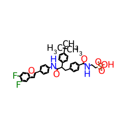 CC(C)(C)c1ccc(C(Cc2ccc(C(=O)NCCS(=O)(=O)O)cc2)C(=O)Nc2ccc(-c3cc4cc(F)c(F)cc4o3)cc2)cc1